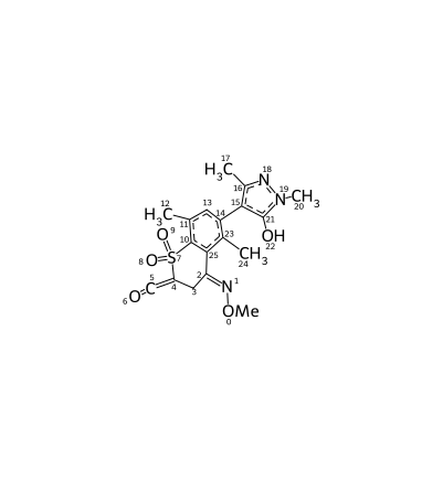 CON=C1CC(=C=O)S(=O)(=O)c2c(C)cc(-c3c(C)nn(C)c3O)c(C)c21